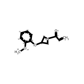 C=CC(=O)N1CC(Oc2ccccc2OC)C1